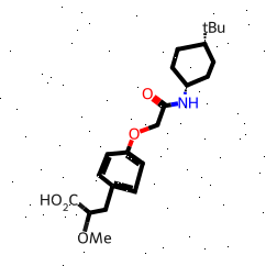 COC(Cc1ccc(OCC(=O)N[C@H]2CC[C@@H](C(C)(C)C)CC2)cc1)C(=O)O